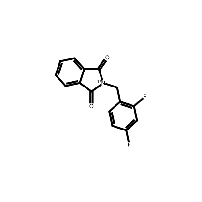 O=C1c2ccccc2C(=O)[15N]1Cc1ccc(F)cc1F